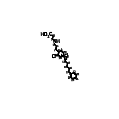 Cl.O=C(O)CCNCC=Cc1ccc(OCCCCCc2ccccc2)cc1Cl